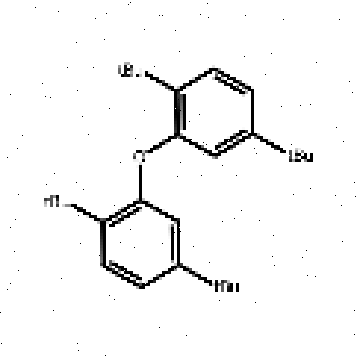 CC(C)(C)c1ccc(C(C)(C)C)c(Oc2cc(C(C)(C)C)ccc2C(C)(C)C)c1